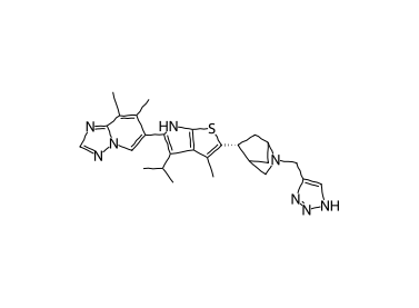 Cc1c(-c2[nH]c3sc([C@@H]4CC5CC4CN5Cc4c[nH]nn4)c(C)c3c2C(C)C)cn2ncnc2c1C